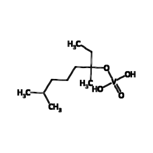 CCC(C)(CCCC(C)C)[O][V](=[O])([OH])[OH]